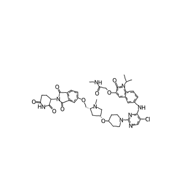 CNC(=O)COc1cc2cc(Nc3nc(N4CCC(O[C@@H]5C[C@H](COc6ccc7c(c6)C(=O)N(C6CCC(=O)NC6=O)C7=O)N(C)C5)CC4)ncc3Cl)ccc2n(C(C)C)c1=O